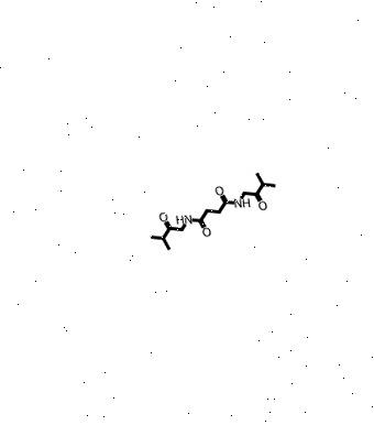 CC(C)C(=O)CNC(=O)CCC(=O)NCC(=O)C(C)C